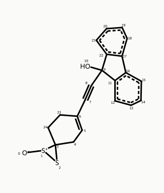 [O-][S+]1SC12CC=C(C#CC1(O)c3ccccc3-c3ccccc31)CC2